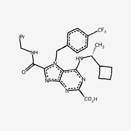 CC(C)CNC(=O)c1nc2nc(C(=O)O)nc(N[C@H](C)C3CCC3)c2n1Cc1ccc(C(F)(F)F)cc1